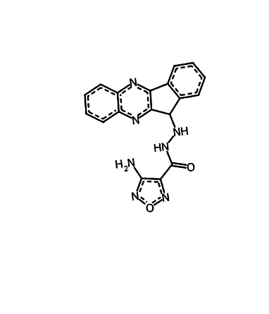 Nc1nonc1C(=O)NNC1c2ccccc2-c2nc3ccccc3nc21